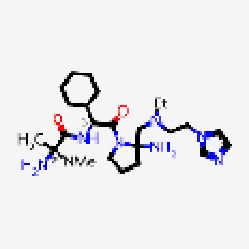 CCN(CCn1ccnc1)CC1(N)CCCN1C(=O)[C@@H](NC(=O)[C@@](C)(N)NC)C1CCCCC1